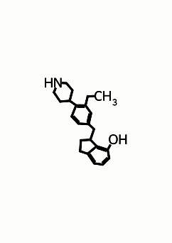 CCc1cc(CC2CCc3cccc(O)c32)ccc1C1CCNCC1